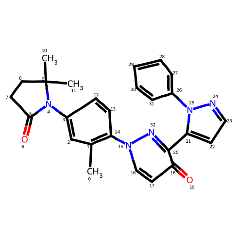 Cc1cc(N2C(=O)CCC2(C)C)ccc1-n1ccc(=O)c(-c2ccnn2-c2ccccc2)n1